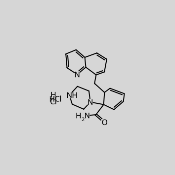 Cl.Cl.NC(=O)C1(N2CCNCC2)C=CC=CC1Cc1cccc2cccnc12